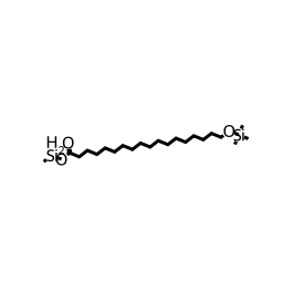 C[SiH2]OC(=O)CCCCCCCCCCCCCCCCCO[Si](C)(C)C